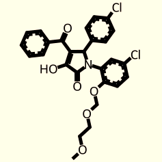 COCCOCOc1ccc(Cl)cc1N1C(=O)C(O)=C(C(=O)c2ccccc2)C1c1ccc(Cl)cc1